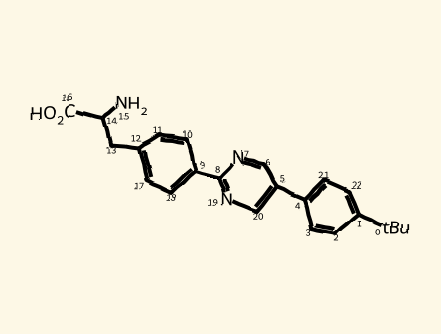 CC(C)(C)c1ccc(-c2cnc(-c3ccc(CC(N)C(=O)O)cc3)nc2)cc1